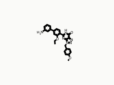 CCOc1cc(-c2cccc(N)c2)ccc1-c1nc2c(nnn2Cc2ccc(OC)cc2)c(=O)[nH]1